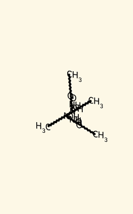 CCCCCCCCCCCCCCN(CCCCN(CCCCCCCCCCCCCC)CC(O)CNCCCC(=O)OCCCCCCCCCCCCC)CC(O)CNCCCC(=O)OCCCCCCCCCCC